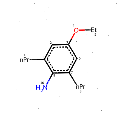 CCCc1cc(OCC)cc(CCC)c1N